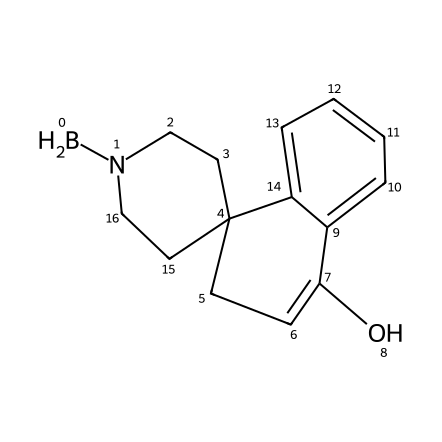 BN1CCC2(CC=C(O)c3ccccc32)CC1